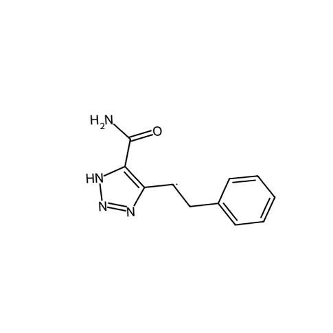 NC(=O)c1[nH]nnc1[CH]Cc1ccccc1